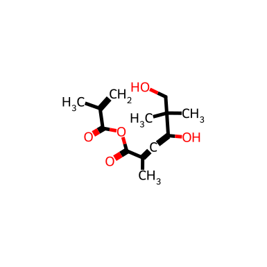 C=C(C)C(=O)OC(=O)C(C)=C=C(O)C(C)(C)CO